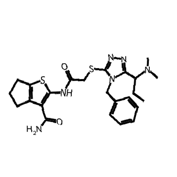 CCC(c1nnc(SCC(=O)Nc2sc3c(c2C(N)=O)CCC3)n1Cc1ccccc1)N(C)C